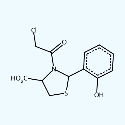 O=C(O)C1CSC(c2ccccc2O)N1C(=O)CCl